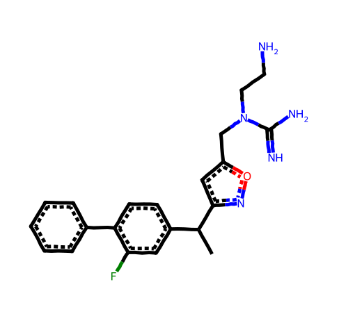 CC(c1ccc(-c2ccccc2)c(F)c1)c1cc(CN(CCN)C(=N)N)on1